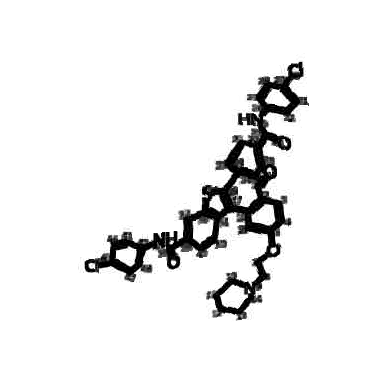 O=Cc1ccc(OCCN2CCCCC2)cc1-c1c(-c2ccc(C(=O)Nc3ccc(Cl)cc3)cc2)sc2cc(C(=O)Nc3ccc(Cl)cc3)ccc12